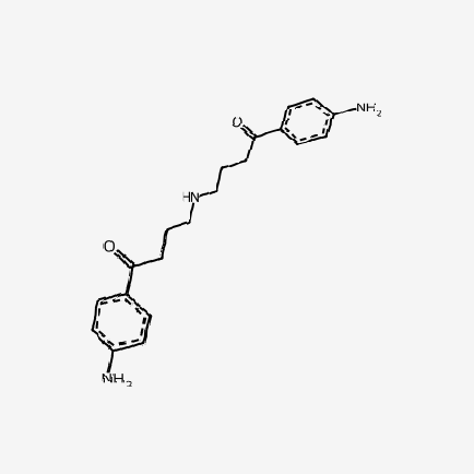 Nc1ccc(C(=O)CCCNCCCC(=O)c2ccc(N)cc2)cc1